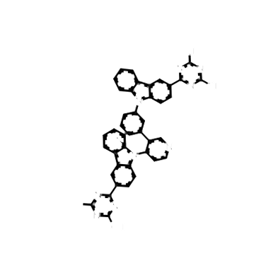 Cc1nc(C)nc(-c2ccc3c(c2)c2ccccc2n3-c2ccc(C#N)c(-c3cnccc3-n3c4ccccc4c4cc(-c5nc(C)nc(C)n5)ccc43)c2)n1